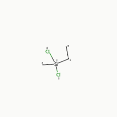 CC[Si](C)(Cl)Cl